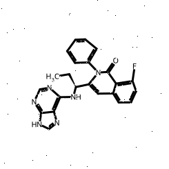 CC[C@H](Nc1ncnc2[nH]cnc12)c1cc2cccc(F)c2c(=O)n1-c1ccccc1